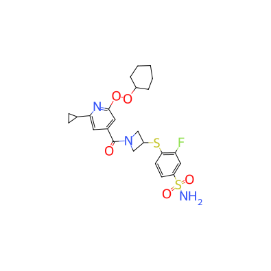 NS(=O)(=O)c1ccc(SC2CN(C(=O)c3cc(OOC4CCCCC4)nc(C4CC4)c3)C2)c(F)c1